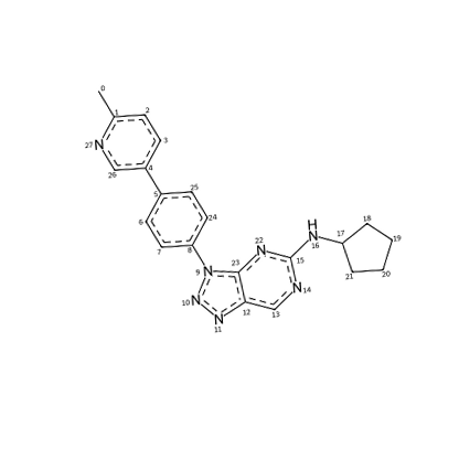 Cc1ccc(-c2ccc(-n3nnc4cnc(NC5CCCC5)nc43)cc2)cn1